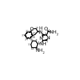 NC(=O)c1ncc(N[C@@H]2CCCC[C@@H]2N)nc1NC1COc2ccccc2C1